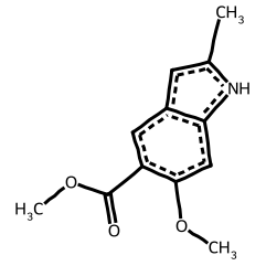 COC(=O)c1cc2cc(C)[nH]c2cc1OC